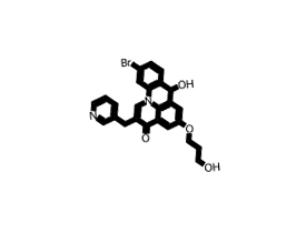 O=c1c(Cc2cccnc2)cn2c3c(cc(OCCCO)cc13)C(O)c1ccc(Br)cc1-2